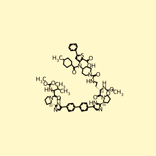 COC(=O)N[C@@H](CCNC(=O)N1CCC(N(C(=O)C2CCC(C)CC2)c2cc(-c3ccccc3)sc2C(=O)O)CC1)C(=O)N1CCC[C@H]1c1ncc(-c2ccc(-c3ccc(-c4cnc([C@@H]5CCCN5C(=O)[C@@H](NC(=O)OC)C(C)C)[nH]4)cc3)cc2)[nH]1